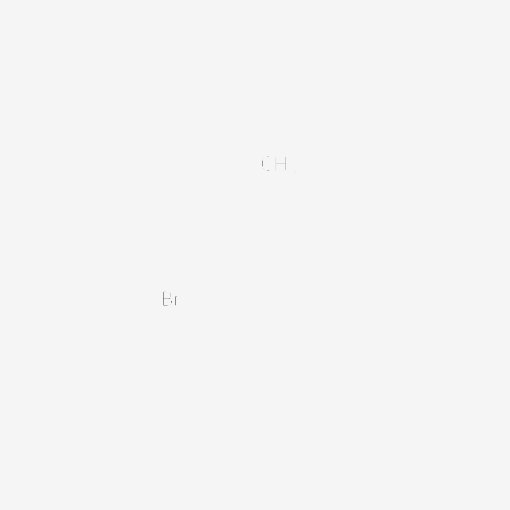 CCc1c[c]ccc1Br